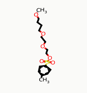 COCCCCOCCOCCOS(=O)(=O)c1ccc(C)cc1